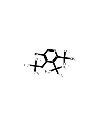 CC(C)(C)Cc1c(O)cnc(C(C)(C)C)c1C(C)(C)C